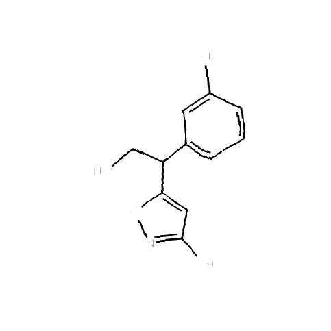 Cc1cc(C(CO)c2cccc(Cl)c2)on1